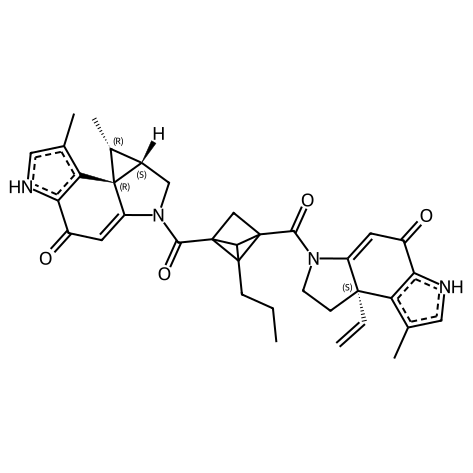 C=C[C@]12CCN(C(=O)C34CC(C(=O)N5C[C@H]6[C@@H](C)[C@@]67C5=CC(=O)c5[nH]cc(C)c57)(C3)C4CCC)C1=CC(=O)c1[nH]cc(C)c12